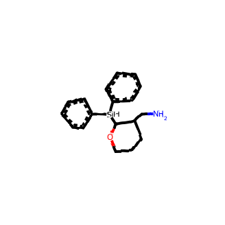 NCC1CCCOC1[SiH](c1ccccc1)c1ccccc1